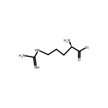 CCC(=O)[C@H](N)CCCNC(=N)N